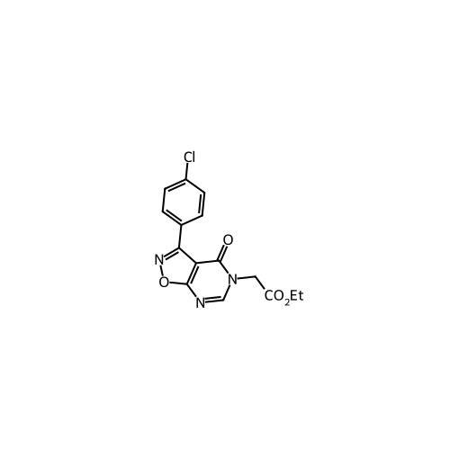 CCOC(=O)Cn1cnc2onc(-c3ccc(Cl)cc3)c2c1=O